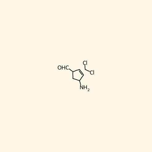 ClCCl.NC1C=CC(C=O)C1